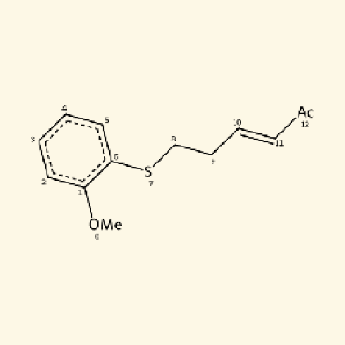 COc1ccccc1SCCC=CC(C)=O